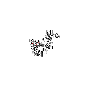 C[C@H](N)C(=O)N[C@@H](C)C(=O)c1c(C(=O)N[C@@H](C)C(=O)N[C@@H](C)C(=O)N[C@@H](C)C(=O)N[C@@H](C)C(=O)N[C@@H](C)C(=O)N[C@@H](C)C(=O)[C@@](C)(N)C(=O)N(C(=O)C(C)(C)N)[C@@H](C)C(=O)Nc2ccc(I)cc2)ccc2c1[C@@H](Oc1ccccc1C(=O)O)CCC2